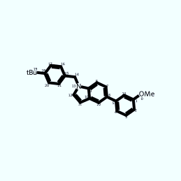 COc1cccc(-c2ccc3c([c]cn3Cc3ccc(C(C)(C)C)cc3)c2)c1